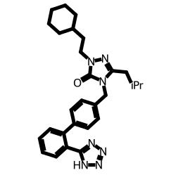 CC(C)Cc1nn(CCC2CCCCC2)c(=O)n1Cc1ccc(-c2ccccc2-c2nnn[nH]2)cc1